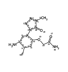 Cn1nnn(-c2cc(N)c(F)cc2OCC(N)=O)c1=O